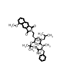 COc1cccc2cc3c(cc12)C(=O)N(CC[C@@H](N[C@@H](CC(C)C)C(=O)N(C)[C@@H](Cc1ccccc1)C(N)=O)C(=O)OC(C)(C)C)C3=O